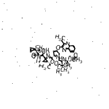 C=C[C@@H]1C[C@]1(NC(=O)[C@@H]1C[C@@H](Oc2nc3cc(OC)ccc3nc2CC)CN1C(=O)[C@@H](NC(=O)O)C(C)(C)C)C(=O)NS(=O)(=O)C1(C)CC1